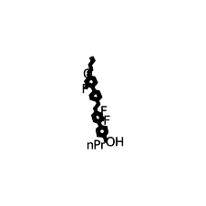 C=CCCOc1ccc(-c2ccc(CCc3ccc(-c4ccc(C(O)CCC)cc4)c(F)c3F)cc2)c(F)c1